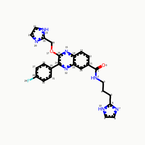 O=C(NCCCc1ncc[nH]1)c1ccc2nc(OCc3ncc[nH]3)c(-c3ccc(F)cc3)nc2c1